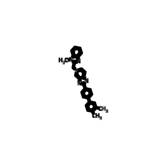 Cc1ccc(-c2ccc(-c3nc4ccn(Cc5nc6ccccc6n5C)cc-4n3)cc2)cc1C